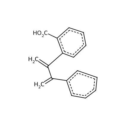 C=C(C(=C)c1ccccc1C(=O)O)c1ccccc1